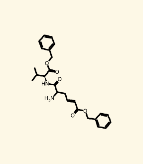 CC(C)[C@H](NC(=O)C(N)CC=CC(=O)OCc1ccccc1)C(=O)OCc1ccccc1